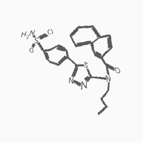 CCCCN(C(=O)c1ccc2ccccc2c1)c1nnc(-c2ccc(S(N)(=O)=O)cc2)s1